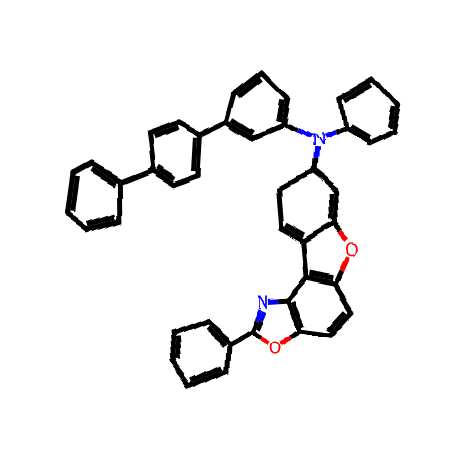 C1=c2oc3ccc4oc(-c5ccccc5)nc4c3c2=CCC1N(c1ccccc1)c1cccc(-c2ccc(-c3ccccc3)cc2)c1